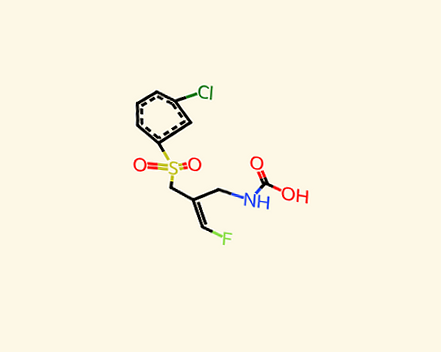 O=C(O)NC/C(=C\F)CS(=O)(=O)c1cccc(Cl)c1